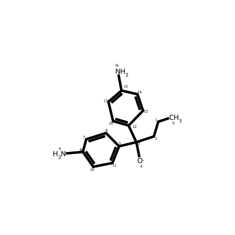 CCCC([O])(c1ccc(N)cc1)c1ccc(N)cc1